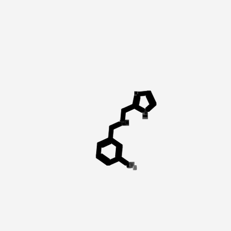 FC(F)(F)c1cccc(CNCc2ncc[nH]2)c1